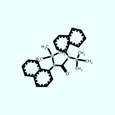 C[Si](C)(C)N(C(=O)N(c1cccc2ccccc12)[Si](C)(C)C)c1cccc2ccccc12